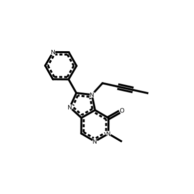 CC#CCn1c(-c2ccncc2)nc2cnn(C)c(=O)c21